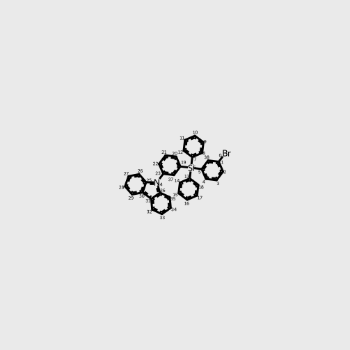 Brc1cccc([Si](c2ccccc2)(c2ccccc2)c2cccc(-n3c4ccccc4c4ccccc43)c2)c1